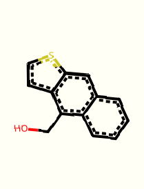 OCc1c2ccccc2cc2sccc12